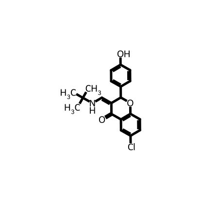 CC(C)(C)N/C=C1\C(=O)c2cc(Cl)ccc2OC1c1ccc(O)cc1